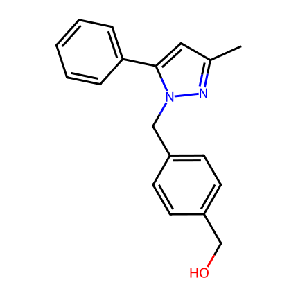 Cc1cc(-c2ccccc2)n(Cc2ccc(CO)cc2)n1